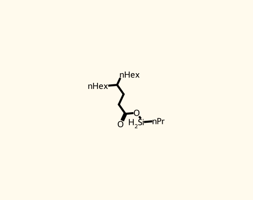 CCCCCCC(CCCCCC)CCC(=O)O[SiH2]CCC